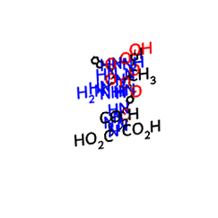 CN1C(=O)[C@@H](Cc2ccc(O)c(I)c2)NC(=O)CNC(=O)[C@H](CCc2ccc3ccccc3c2)NC(=O)[C@H](CCCNC(=N)N)NC(=O)[C@H]1CCCNC(=O)c1ccc(CNC(=O)CN2CCN(CC(=O)O)CCN(CC(=O)O)CCN(CC(=O)O)CC2)cc1